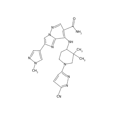 Cn1cc(-c2cn3ncc(C(N)=O)c(NC4CCN(c5ccc(C#N)nn5)CC4(C)C)c3n2)cn1